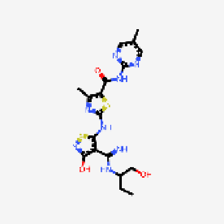 CCC(CO)NC(=N)c1c(O)nsc1Nc1nc(C)c(C(=O)Nc2ncc(C)cn2)s1